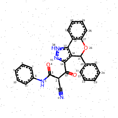 N#CC(C(=O)Nc1ccccc1)C(=O)c1n[nH]c2c1C(c1ccccc1)Oc1ccccc1-2